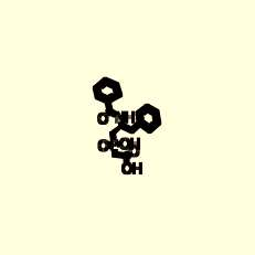 O=C(O)CP(=O)(O)C[C@H](Cc1ccccc1)NC(=O)c1ccccc1